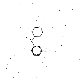 Cc1cccc(CC2CC[N]CC2)c1